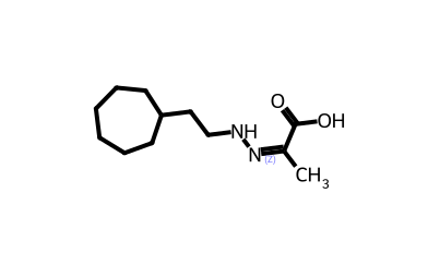 C/C(=N/NCCC1CCCCCC1)C(=O)O